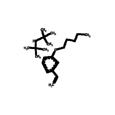 C=Cc1cccc(OCCCCC)c1.CC(C)(C)NC(C)(C)C